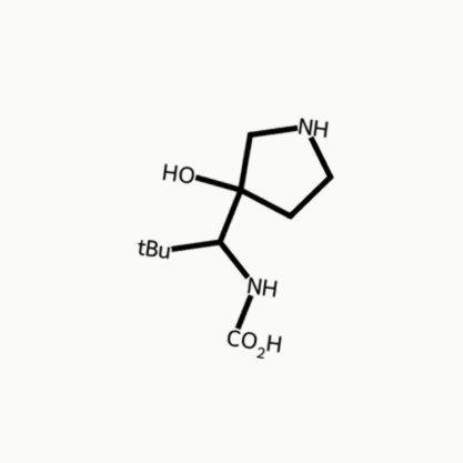 CC(C)(C)C(NC(=O)O)C1(O)CCNC1